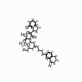 COC(CF)CN(CCCCc1ccc2c(n1)NCCC2)CCC(NC(=O)C1CCc2cccc(=O)n21)C(=O)O